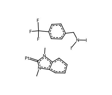 Cn1[c](=[Pt])n(C)c2ccccc21.FC(F)(F)c1ccc(CN(I)I)cc1